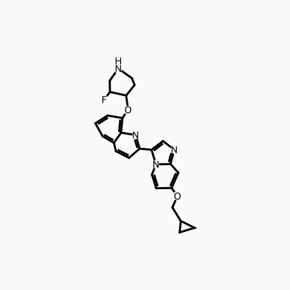 FC1CNCCC1Oc1cccc2ccc(-c3cnc4cc(OCC5CC5)ccn34)nc12